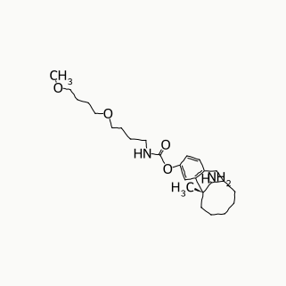 COCCCCOCCCCNC(=O)Oc1ccc2c(c1)[C@@]1(C)CCCCCC(C2)[C@@H]1N